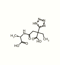 CCC(CC(=O)N[C@H](C)C(=O)O)(C(=O)O)c1nnn[nH]1